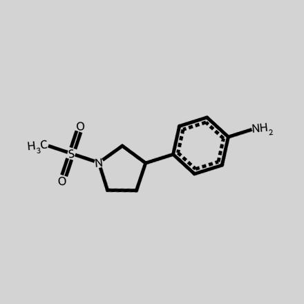 CS(=O)(=O)N1CCC(c2ccc(N)cc2)C1